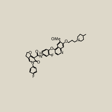 COc1cc2c(Oc3ccc(NC(=O)c4c5c(cn(-c6ccc(F)cc6)c4=O)CCO5)cc3F)ccnc2cc1OCCCN1CCC(C)CC1